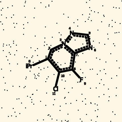 CC(C)c1cn2ncnc2c(F)c1Cl